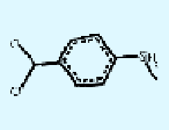 C[SiH2]c1ccc(C(Cl)Cl)cc1